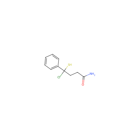 NC(=O)CCC(S)(Cl)c1ccccc1